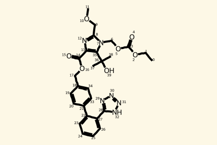 CCOC(=O)OCn1c(COC)nc(C(=O)OCc2ccc(-c3ccccc3-c3nnn[nH]3)cc2)c1C(C)(C)O